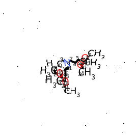 CCO[Si](C)(CCCN(CC)CCC[Si](C)(OCC)OCC)OCC